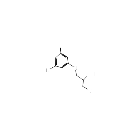 Nc1cc(F)cc(NCC(O)CO)c1